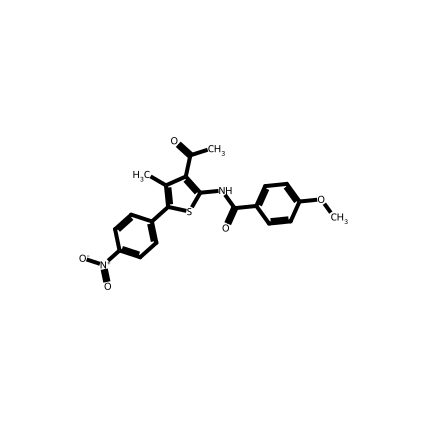 COc1ccc(C(=O)Nc2sc(-c3ccc([N+](=O)[O-])cc3)c(C)c2C(C)=O)cc1